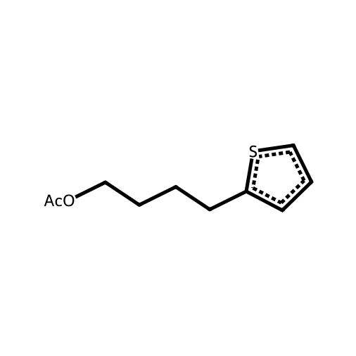 CC(=O)OCCCCc1cccs1